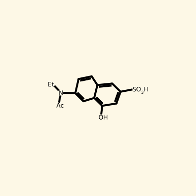 CCN(C(C)=O)c1ccc2cc(S(=O)(=O)O)cc(O)c2c1